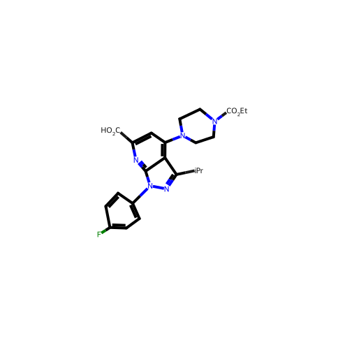 CCOC(=O)N1CCN(c2cc(C(=O)O)nc3c2c(C(C)C)nn3-c2ccc(F)cc2)CC1